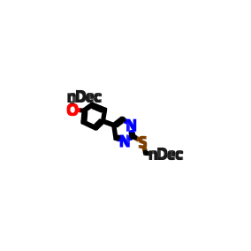 CCCCCCCCCCCSc1ncc(-c2ccc(OCCCCCCCCCC)cc2)cn1